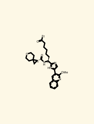 CCC(=O)CCCCC[C@H](NC(=O)[C@@H]1CC12CCOCC2)c1ncc(-c2cc3ccccc3nc2OC)[nH]1